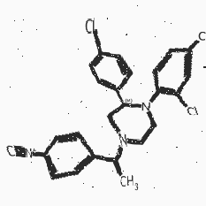 [C-]#[N+]c1ccc(C(C)N2CCN(c3ccc(Cl)cc3Cl)[C@H](c3ccc(Cl)cc3)C2)cc1